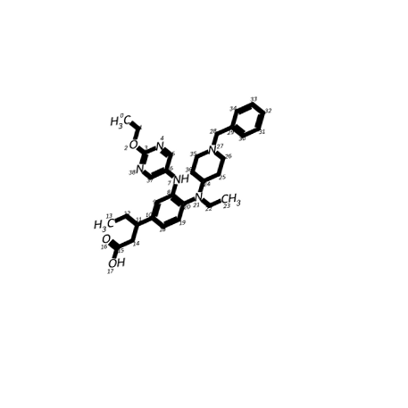 CCOc1ncc(Nc2cc(C(CC)CC(=O)O)ccc2N(CC)C2CCN(Cc3ccccc3)CC2)cn1